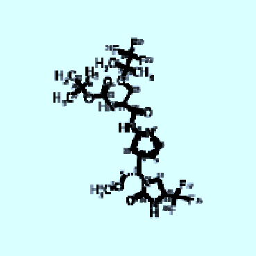 COC[C@H](c1ccnc(NC(=O)[C@H](COC(C)(C)C(F)(F)F)NC(=O)OC(C)(C)C)c1)N1C[C@@H](C(F)(F)F)NC1=O